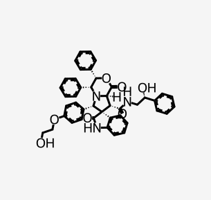 O=C1O[C@@H](c2ccccc2)[C@@H](c2ccccc2)N2[C@@H](c3ccc(OCCO)cc3)[C@]3(C(=O)Nc4ccccc43)[C@@H](C(=O)NC[C@H](O)c3ccccc3)[C@H]12